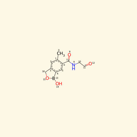 Cc1cc2c(cc1C(=O)NCC=O)B(O)OC2